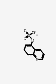 O=S(=O)(OC1=CCCc2ncccc21)C(F)(F)F